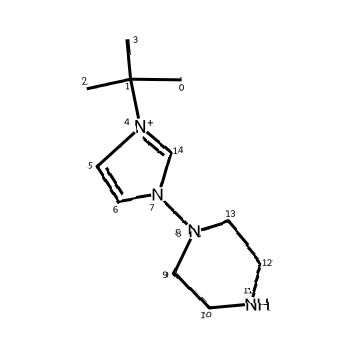 CC(C)(C)[n+]1ccn(N2CCNCC2)c1